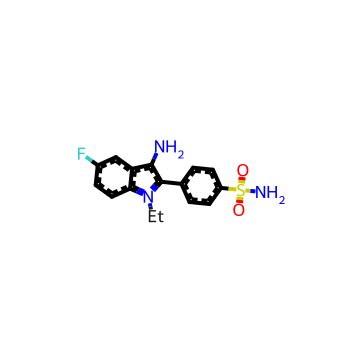 CCn1c(-c2ccc(S(N)(=O)=O)cc2)c(N)c2cc(F)ccc21